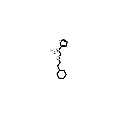 c1csc([SiH2]COCCC2CCCCC2)c1